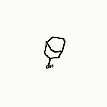 OC1CC2CCN(CC2)C1